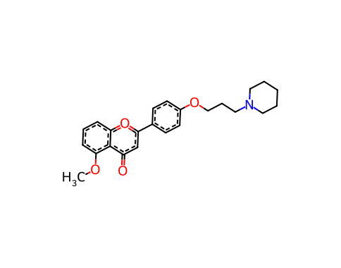 COc1cccc2oc(-c3ccc(OCCCN4CCCCC4)cc3)cc(=O)c12